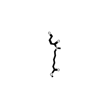 COC(=O)CCCCCN(C)C(=O)/C=C\C=O